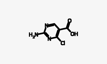 Nc1ncc(C(=O)O)c(Cl)n1